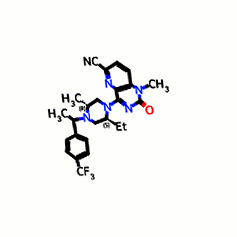 CC[C@H]1CN(C(C)c2ccc(C(F)(F)F)cc2)[C@H](C)CN1c1nc(=O)n(C)c2ccc(C#N)nc12